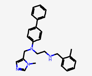 Cc1ccccc1CNCCN(Cc1cncn1C)c1ccc(-c2ccccc2)cc1